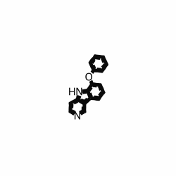 c1ccc(Oc2cccc3c2[nH]c2ccncc23)cc1